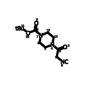 [C-]#[N+]CC(=O)N1CCN(C(=O)OC(C)(C)C)CC1